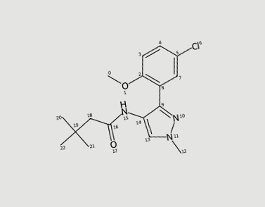 COc1ccc(Cl)cc1-c1nn(C)cc1NC(=O)CC(C)(C)C